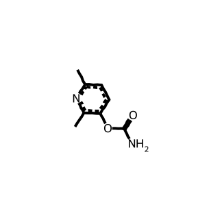 Cc1ccc(OC(N)=O)c(C)n1